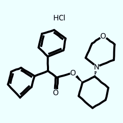 Cl.O=C(O[C@@H]1CCCC[C@H]1N1CCOCC1)C(c1ccccc1)c1ccccc1